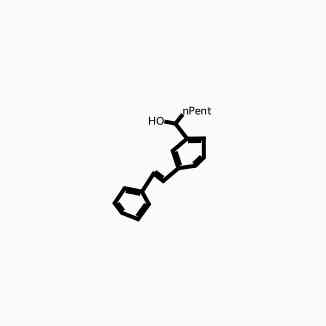 CCCCCC(O)c1cccc(/C=C/c2ccccc2)c1